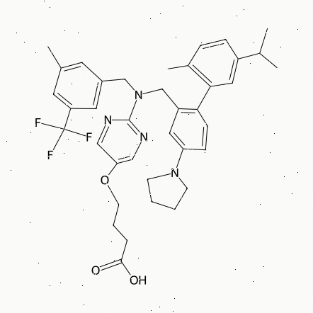 Cc1cc(CN(Cc2cc(N3CCCC3)ccc2-c2cc(C(C)C)ccc2C)c2ncc(OCCCC(=O)O)cn2)cc(C(F)(F)F)c1